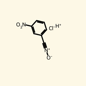 O=[N+]([O-])c1cccc(C#[N+][O-])c1.[Cl-].[H+]